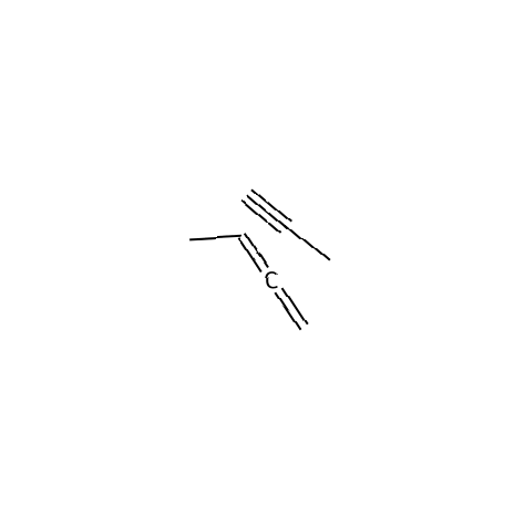 C#CC.C=C=CC